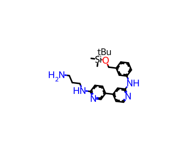 CC(C)(C)[Si](C)(C)OCc1cccc(Nc2cc(-c3ccc(NCCCN)nc3)ccn2)c1